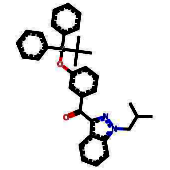 CC(C)Cn1nc(C(=O)c2cccc(O[Si](c3ccccc3)(c3ccccc3)C(C)(C)C)c2)c2ccccc21